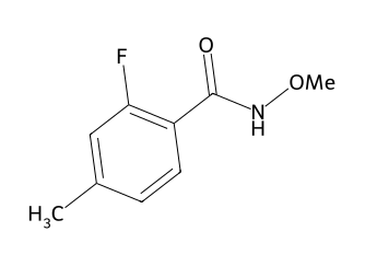 CONC(=O)c1ccc(C)cc1F